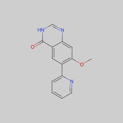 COc1cc2nc[nH]c(=O)c2cc1-c1ccccn1